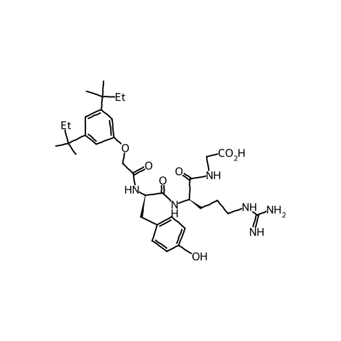 CCC(C)(C)c1cc(OCC(=O)N[C@H](Cc2ccc(O)cc2)C(=O)N[C@H](CCCNC(=N)N)C(=O)NCC(=O)O)cc(C(C)(C)CC)c1